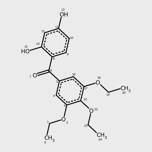 CCOc1cc(C(=O)c2ccc(O)cc2O)cc(OCC)c1OCC